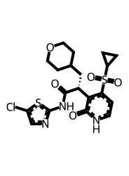 O=C(Nc1ncc(Cl)s1)[C@H](CC1CCOCC1)c1c(S(=O)(=O)C2CC2)cc[nH]c1=O